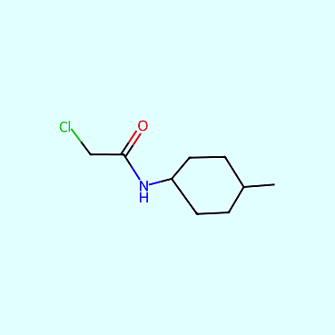 CC1CCC(NC(=O)CCl)CC1